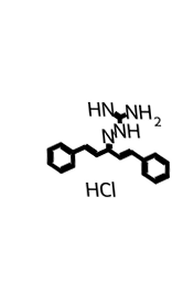 Cl.N=C(N)NN=C(/C=C/c1ccccc1)/C=C/c1ccccc1